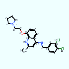 Cc1cc(NCc2ccc(Cl)c(Cl)c2)c2cccc(OCCN3CCCC3)c2n1